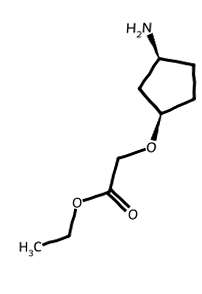 CCOC(=O)CO[C@@H]1CC[C@H](N)C1